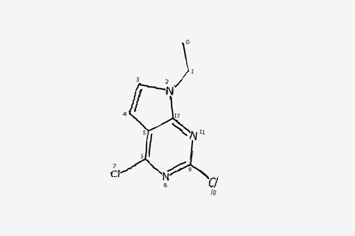 CCn1ccc2c(Cl)nc(Cl)nc21